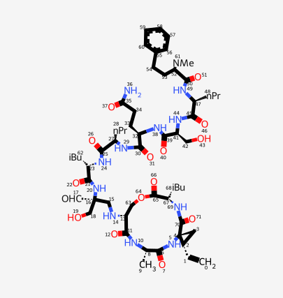 C=C[C@H]1C[C@]12NC(=O)[C@H](C)NC(=O)[C@H](NC[C@@](C=O)(CO)NC(=O)[C@@H](NC(=O)[C@@H](CCC)NC(=O)[C@@H](CCC(N)=O)NC(=O)[C@H](CO)NC(=O)[C@H](CCC)NC(=O)[C@@H](CCc1ccccc1)NC)[C@@H](C)CC)COC(=O)[C@H]([C@@H](C)CC)NC2=O